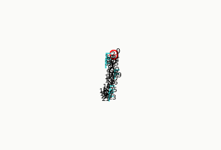 CCOc1ccc(-c2ccc(C3=CCC(CCc4ccc(C)c(F)c4F)CC3)c(F)c2)c(F)c1F